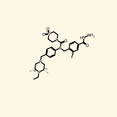 CCN1[C@H](C)CN(Cc2ccc(N(Cc3ccc(C(=O)NN)cc3F)C(=O)N3CCS(=O)(=O)CC3)cc2)C[C@@H]1C